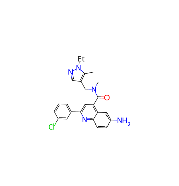 CCn1ncc(CN(C)C(=O)c2cc(-c3cccc(Cl)c3)nc3ccc(N)cc23)c1C